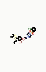 CCC(C)SC(SC(C)CC)c1ccc(OCCN2CCN(S(=O)(=O)c3ccccc3Cl)CC2)c(OC)c1